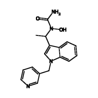 CC(c1cn(Cc2cccnc2)c2ccccc12)N(O)C(N)=O